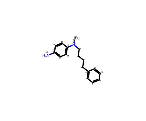 CCC(C)N(CCCCc1ccccc1)c1ccc(N)cc1